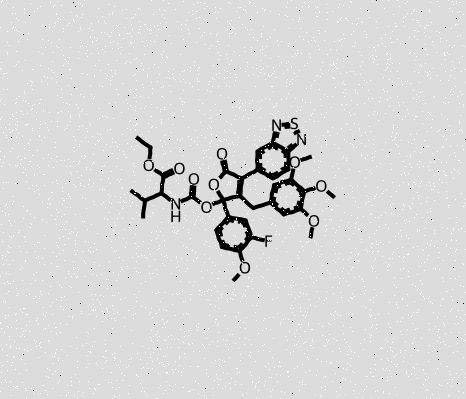 CCOC(=O)C(NC(=O)OC1(c2ccc(OC)c(F)c2)OC(=O)C(c2ccc3nsnc3c2)=C1Cc1cc(OC)c(OC)c(OC)c1)C(C)C